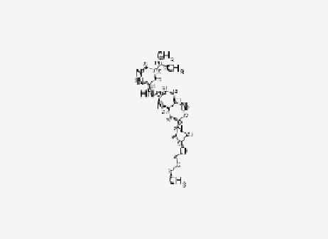 CCCCOC1CN(c2cnc3ccc(Nc4cc(C(C)C)cnn4)nc3c2)C1